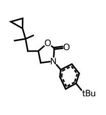 CC(C)(C)c1ccc(N2CC(CC(C)(C)C3CC3)OC2=O)cc1